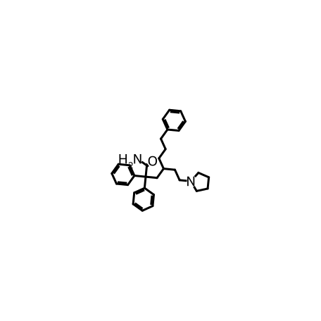 NC(=O)C(CC(CCCc1ccccc1)CCN1CCCC1)(c1ccccc1)c1ccccc1